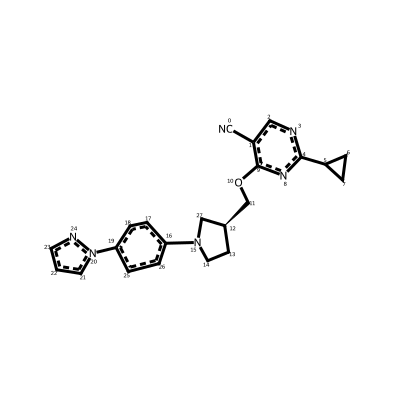 N#Cc1cnc(C2CC2)nc1OC[C@H]1CCN(c2ccc(-n3cccn3)cc2)C1